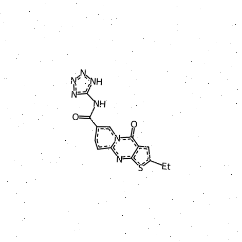 CCc1cc2c(=O)n3cc(C(=O)Nc4nnn[nH]4)ccc3nc2s1